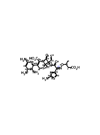 CC(CC(=O)O)O/N=C(\C(=O)NC1(C=S)C(=O)N2C(C(=O)O)=C(C3=NC(N)=CC(N)N3N)CS[C@H]21)c1csc(N)n1